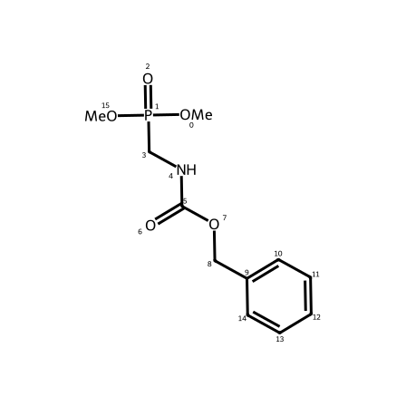 COP(=O)(CNC(=O)OCc1ccccc1)OC